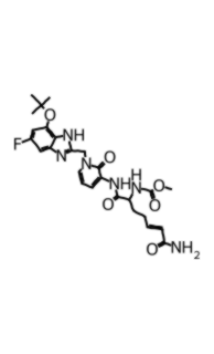 COC(=O)NC(CCC=CC(N)=O)C(=O)Nc1cccn(Cc2nc3cc(F)cc(OC(C)(C)C)c3[nH]2)c1=O